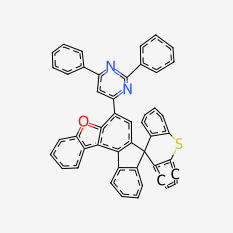 c1ccc(-c2cc(-c3cc4c(c5c3oc3ccccc35)-c3ccccc3C43c4ccccc4Sc4ccccc43)nc(-c3ccccc3)n2)cc1